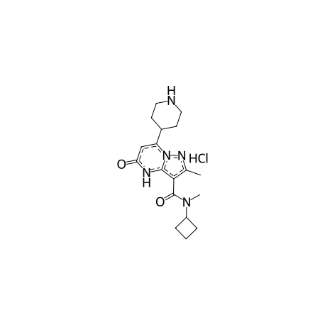 Cc1nn2c(C3CCNCC3)cc(=O)[nH]c2c1C(=O)N(C)C1CCC1.Cl